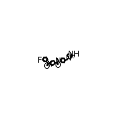 C[C@H]1CN(Cc2ccc(N(C)C(=O)C3CCN(C(=O)c4cccc(F)c4)CC3)cc2)CCN1